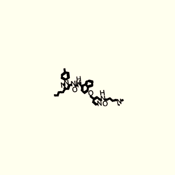 CCCCc1cc(NC(=O)Nc2ccc(OCc3ccnc(NC(=O)CCCN(C)C)c3)c3ccccc23)n(-c2ccc(C)cc2)n1